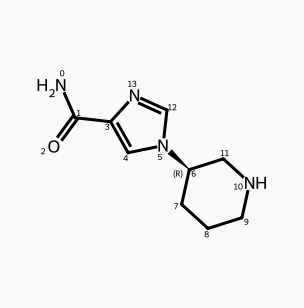 NC(=O)c1cn([C@@H]2CCCNC2)cn1